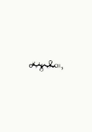 CCC(=O)CCC(=O)CCC=O